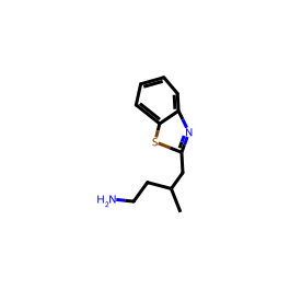 CC(CCN)Cc1nc2ccccc2s1